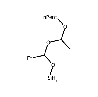 CCCCCOC(C)OC(CC)O[SiH3]